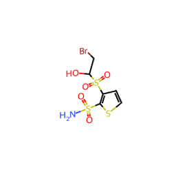 NS(=O)(=O)c1sccc1S(=O)(=O)C(O)CBr